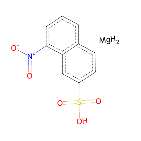 O=[N+]([O-])c1cccc2ccc(S(=O)(=O)O)cc12.[MgH2]